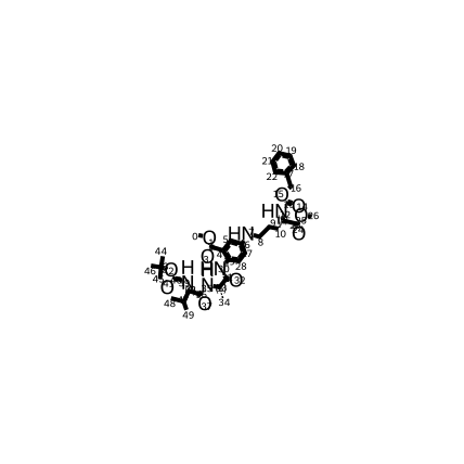 COC(=O)c1cc(NCCC[C@H](NC(=O)OCc2ccccc2)C(=O)OC)ccc1NC(=O)[C@H](C)NC(=O)[C@@H](NC(=O)OC(C)(C)C)C(C)C